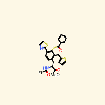 CCC(=O)N[C@@H](Cc1ccc(-c2nccs2)c(SC(=O)c2ccccc2)c1Cc1cccs1)C(=O)OC